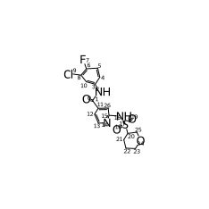 O=C(Nc1ccc(F)c(Cl)c1)c1ccnc(NS(=O)(=O)C2CCCOC2)c1